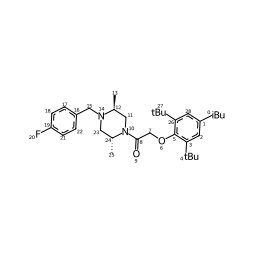 CCC(C)c1cc(C(C)(C)C)c(OCC(=O)N2C[C@H](C)N(Cc3ccc(F)cc3)C[C@H]2C)c(C(C)(C)C)c1